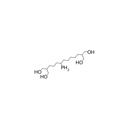 OCC(CO)CCCCCC(P)CCCC(CO)CO